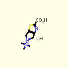 C[N+](C)(C)N1Cc2nc(C(=O)O)sc2C1.[LiH]